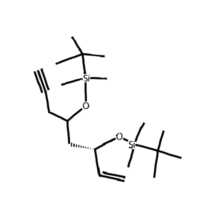 C#CCC(C[C@@H](C=C)O[Si](C)(C)C(C)(C)C)O[Si](C)(C)C(C)(C)C